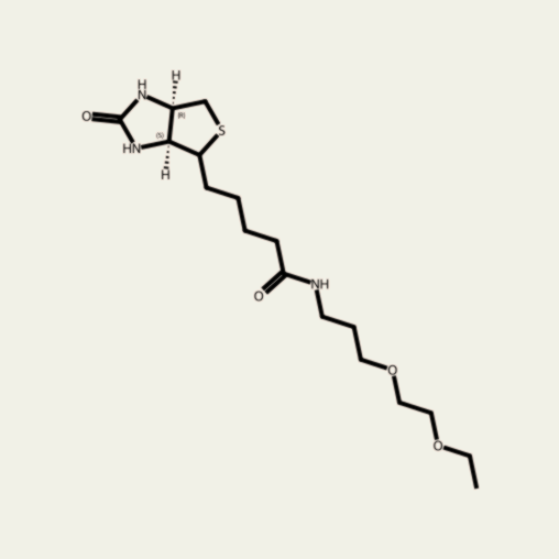 CCOCCOCCCNC(=O)CCCCC1SC[C@@H]2NC(=O)N[C@H]12